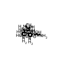 C[C@@H](N)[C@H]1O[C@@H](OC2[C@H](O[C@H]3OC(CO)[C@@H](O)C(O)C3N)C(N)C[C@@H](NC(=O)[C@@H](O)CCN)[C@H]2O)[C@@H](O)C1O